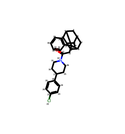 CC1C2CC3CC1CC(C2)C3(CC(=O)N1CCC(c2ccc(Cl)cc2)CC1)c1ccccc1